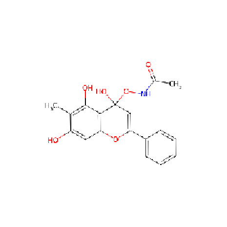 CC(=O)NOC1(O)C=C(c2ccccc2)Oc2cc(O)c(C)c(O)c21